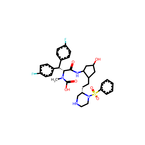 CN(C(=O)O)[C@@H](C(=O)NC1CC(O)CC1CC[C@H]1CNCCN1S(=O)(=O)c1ccccc1)C(c1ccc(F)cc1)c1ccc(F)cc1